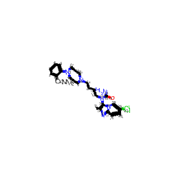 COc1ccccc1N1CCN(CCCCN(C(N)=O)c2c(C)nc3ccc(Cl)cn23)CC1